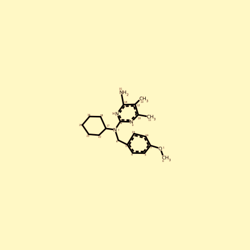 COc1ccc(CN(c2nc(C)c(C)c(N)n2)C2CCCCC2)cc1